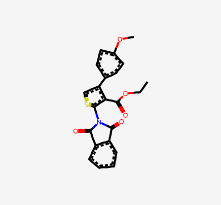 CCOC(=O)c1c(-c2ccc(OC)cc2)csc1N1C(=O)c2ccccc2C1=O